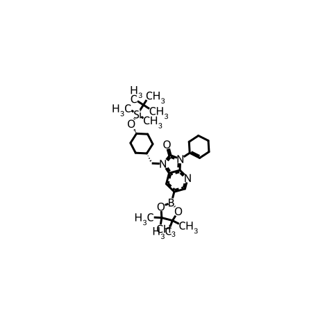 CC1(C)OB(c2cnc3c(c2)n(C[C@H]2CC[C@@H](O[Si](C)(C)C(C)(C)C)CC2)c(=O)n3C2=CCCCC2)OC1(C)C